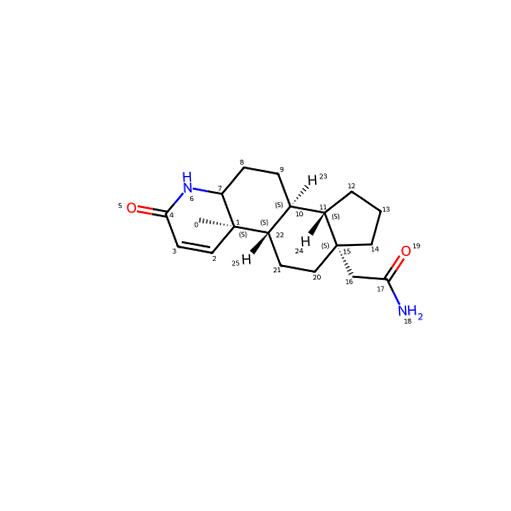 C[C@]12C=CC(=O)NC1CC[C@H]1[C@@H]3CCC[C@@]3(CC(N)=O)CC[C@@H]12